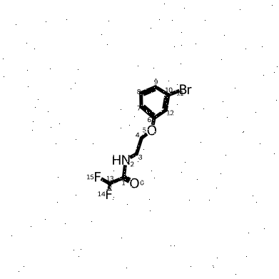 O=C(NCCOc1cccc(Br)c1)C(F)F